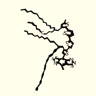 C#CC#CC#CC#CC#CC#CC#CC(CCCCCCCCCCCC)Cc1cc(-c2c3nnsc3c(C)c3nnsc23)sc1-c1ccc(-c2ccc(-c3sc(C)cc3CC(CCCCCCCCCCCC)CCCCCCCCCCCCCC)s2)s1